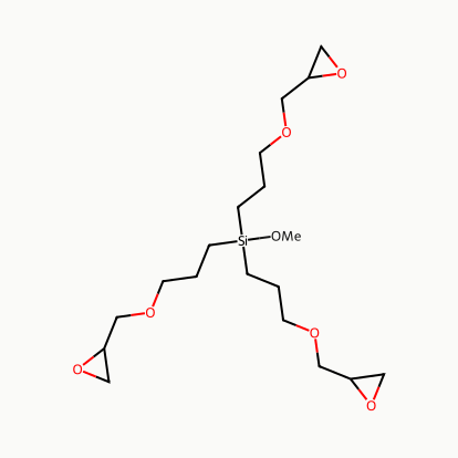 CO[Si](CCCOCC1CO1)(CCCOCC1CO1)CCCOCC1CO1